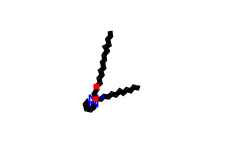 CCCCCCCCCCCCCCCCCC(CCCCCCCCCCC)[n+]1ccccc1